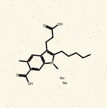 CCCCCc1c(CCC(=O)O)c2cc(C)c(C(=O)O)cc2n1C.[Na].[Na]